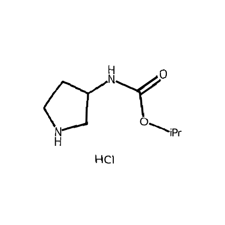 CC(C)OC(=O)NC1CCNC1.Cl